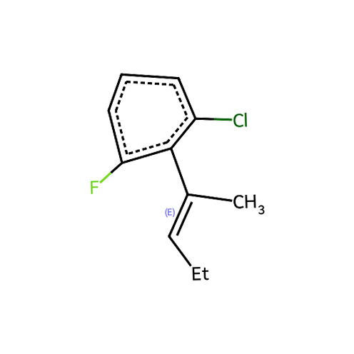 CC/C=C(\C)c1c(F)cccc1Cl